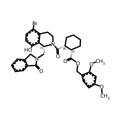 COc1ccc(COC(=O)[C@H]2CCCC[C@H]2C(=O)N2CCc3c(Br)ccc(O)c3[C@H]2CN2Cc3ccccc3C2=O)c(OC)c1